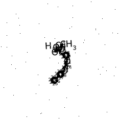 CC(C)OC(Cc1cccc(OCC(F)COc2ccc(-c3ccccc3)cc2)c1)C(=O)O